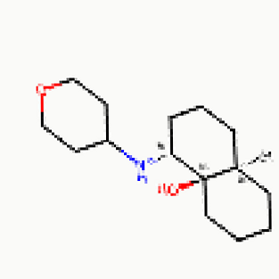 O[C@]12CCCC[C@@H]1CCC[C@H]2NC1CCOCC1